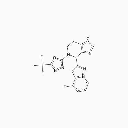 CC(F)(F)c1nnc(N2CCc3[nH]cnc3C2c2cc3c(F)cccn3n2)o1